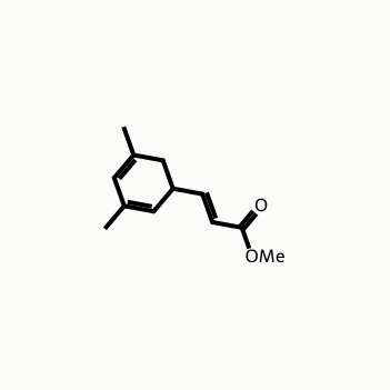 COC(=O)C=CC1C=C(C)C=C(C)C1